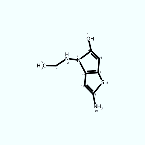 CCNn1c(O)cc2sc(N)cc21